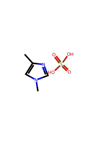 Cc1cn(C)cn1.O=S(=O)(O)O